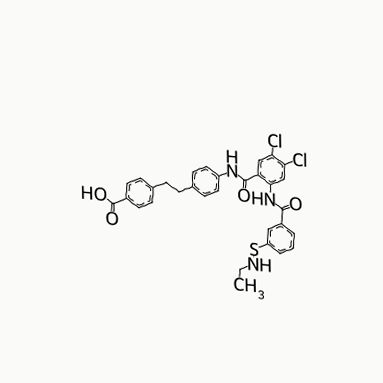 CCNSc1cccc(C(=O)Nc2cc(Cl)c(Cl)cc2C(=O)Nc2ccc(CCc3ccc(C(=O)O)cc3)cc2)c1